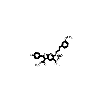 CCc1cc2c(C(=O)NC)c(-c3ccc(F)cc3)oc2nc1N(CCCc1cccc(OC)c1)[SH](=O)=O